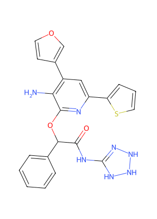 Nc1c(-c2ccoc2)cc(-c2cccs2)nc1OC(C(=O)NC1=NNNN1)c1ccccc1